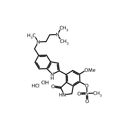 COc1cc(-c2cc3cc(CN(C)CCN(C)C)ccc3[nH]2)c2c(c1OS(C)(=O)=O)CNC2=O.Cl.Cl